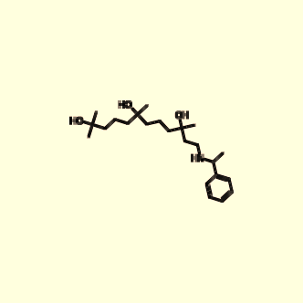 CC(NCCC(C)(O)CCCC(C)(O)CCCC(C)(C)O)c1ccccc1